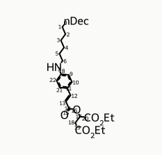 CCCCCCCCCCCCCCCCNc1ccc(C=CC(=O)OC(CC(=O)OCC)C(=O)OCC)cc1